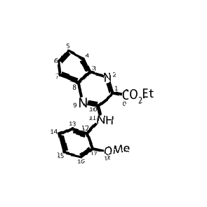 CCOC(=O)c1nc2ccccc2nc1Nc1ccccc1OC